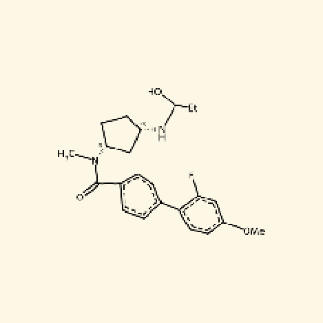 CCC(O)N[C@H]1CC[C@@H](N(C)C(=O)c2ccc(-c3ccc(OC)cc3F)cc2)C1